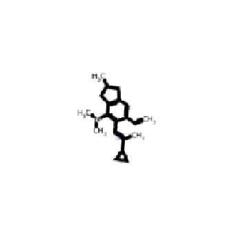 C=Cc1cc2c(c(N(C)C)c1/C=C(\C)C1CC1)CC(C)C2